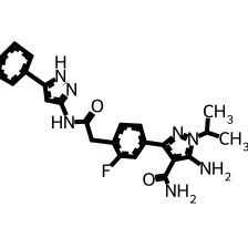 CC(C)n1nc(-c2ccc(CC(=O)Nc3cc(-c4ccccc4)[nH]n3)c(F)c2)c(C(N)=O)c1N